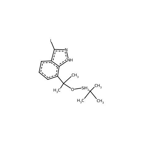 CC(C)(C)[SiH2]OC(C)(C)c1cccc2c(I)n[nH]c12